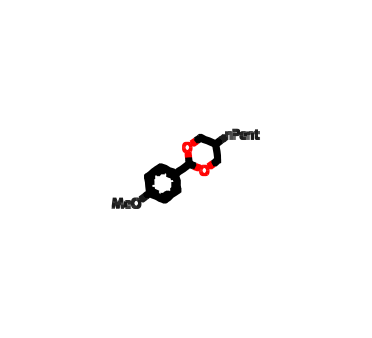 CCCCCC1COC(c2ccc(OC)cc2)OC1